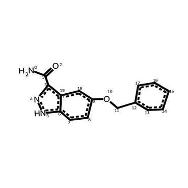 NC(=O)c1n[nH]c2ccc(OCc3ccccc3)cc12